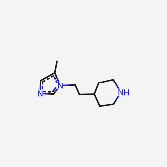 Cc1cncn1CCC1CCNCC1